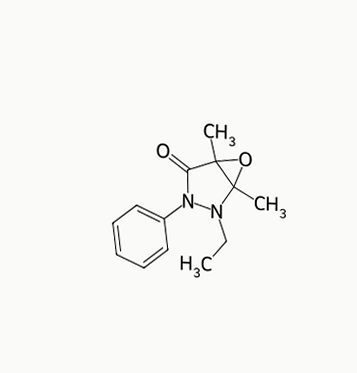 CCN1N(c2ccccc2)C(=O)C2(C)OC12C